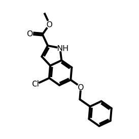 COC(=O)c1cc2c(Cl)cc(OCc3ccccc3)cc2[nH]1